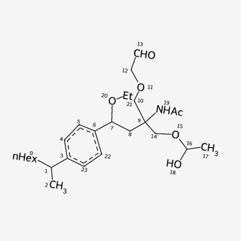 CCCCCCC(C)c1ccc(C(CC(COCC=O)(COC(C)O)NC(C)=O)OCC)cc1